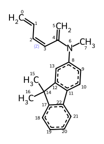 C=C/C=C\C(=C)N(C)c1ccc2c(c1)C(C)(C)c1ccccc1-2